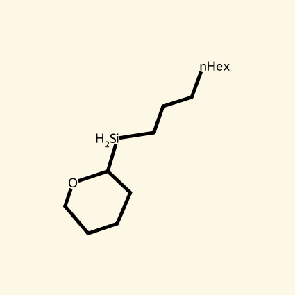 CCCCCCCCC[SiH2]C1CCCCO1